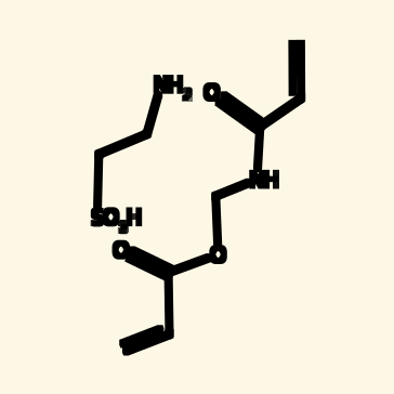 C=CC(=O)NCOC(=O)C=C.NCCS(=O)(=O)O